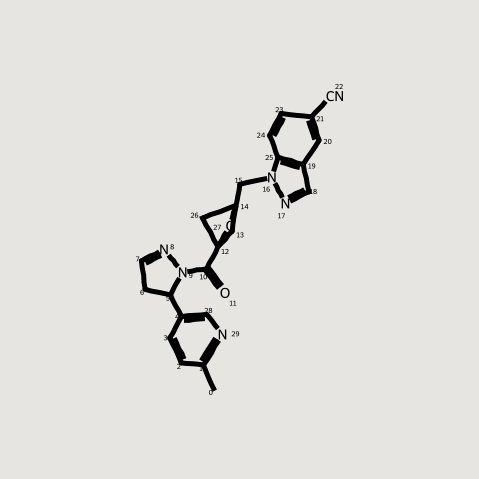 Cc1ccc(C2CC=NN2C(=O)C23CC(Cn4ncc5cc(C#N)ccc54)(C2)C3)cn1